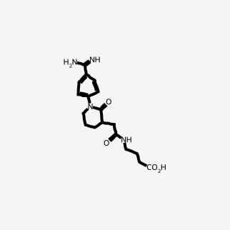 N=C(N)c1ccc(N2CCCC(CC(=O)NCCCC(=O)O)C2=O)cc1